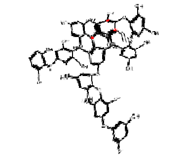 Oc1cc(O)cc(Oc2cc(O)c(Oc3c(O)cc(O)cc3Oc3cc(O)c(Oc4cc(O)cc(O)c4Oc4cc(O)cc(O)c4Oc4cc(O)cc(O)c4Oc4cc(O)c(Oc5c(O)cc(O)cc5Oc5c(O)cc(Oc6c(O)cccc6O)cc5O)c(O)c4)c(O)c3)c(O)c2)c1